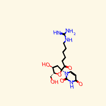 N=C(N)NCCCCCC(=O)[C@]1(n2ccc(=O)[nH]c2=O)C[C@H](O)[C@@H](CO)O1